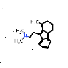 CC1CCCC2C1=C(CCN(C)C)c1ccccc12